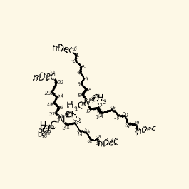 CCCCCCCCCCCCCCCCCC[N+](C)(C)CCCCCCCCCCCCCCCCCC.CCCCCCCCCCCCCCCC[N+](C)(C)CCCCCCCCCCCCCCCC.[Br-].[Cl-]